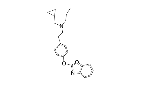 CCCN(CCc1ccc(Oc2nc3ccccc3o2)cc1)CC1CC1